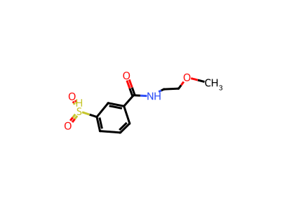 COCCNC(=O)c1cccc([SH](=O)=O)c1